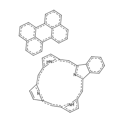 C1=Cc2cc3ccc(cc4nc(cc5ccc(cc1n2)[nH]5)-c1ccccc1-4)[nH]3.c1cc2cccc3c4cccc5cccc(c(c1)c23)c54